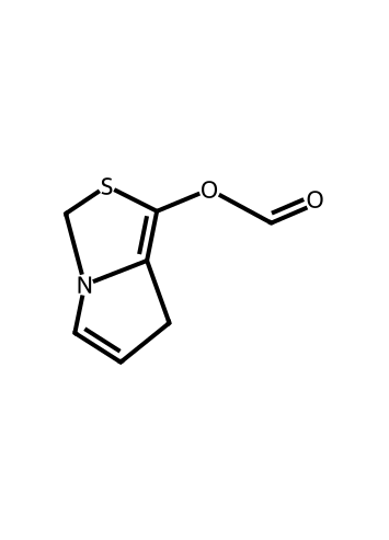 O=COC1=C2CC=CN2CS1